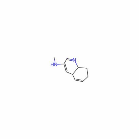 CNC1=CC2C=CCCC2N=C1